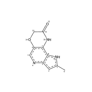 Cc1cc2ncc3c(c2[nH]1)NC(=O)CO3